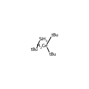 CC(C)(C)[SiH3].C[C](C)(C)[GeH2][C](C)(C)C